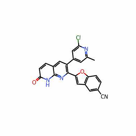 Cc1cc(-c2cc3ccc(=O)[nH]c3nc2-c2cc3cc(C#N)ccc3o2)cc(Cl)n1